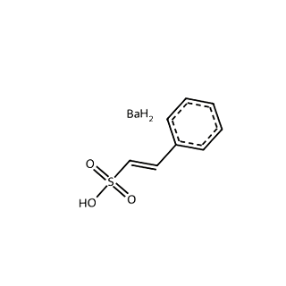 O=S(=O)(O)C=Cc1ccccc1.[BaH2]